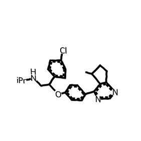 CC(C)NCC(Oc1ccc(-c2ncnc3c2C(C)CC3)cc1)c1ccc(Cl)cc1